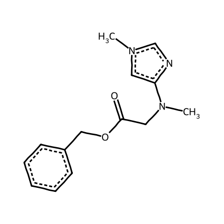 CN(CC(=O)OCc1ccccc1)c1cn(C)cn1